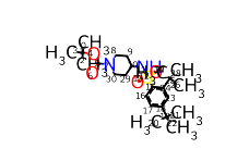 CC(C)(C)OC(=O)N1CCC(NS(=O)(=O)c2ccc(C(C)(C)C)cc2C(C)(C)C)CC1